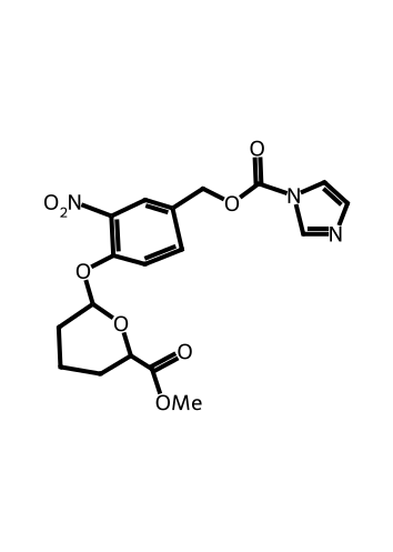 COC(=O)C1CCCC(Oc2ccc(COC(=O)n3ccnc3)cc2[N+](=O)[O-])O1